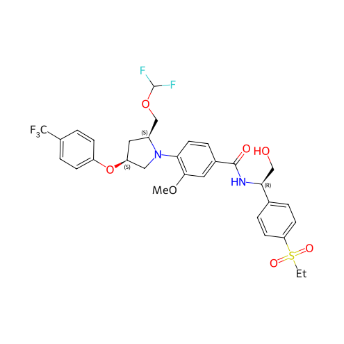 CCS(=O)(=O)c1ccc([C@H](CO)NC(=O)c2ccc(N3C[C@@H](Oc4ccc(C(F)(F)F)cc4)C[C@H]3COC(F)F)c(OC)c2)cc1